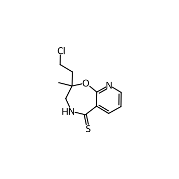 CC1(CCCl)CNC(=S)c2cccnc2O1